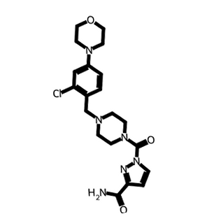 NC(=O)c1ccn(C(=O)N2CCN(Cc3ccc(N4CCOCC4)cc3Cl)CC2)n1